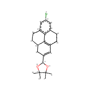 CC1(C)OB(C2=CC3=C4c5c(cc(Br)cc5CCC4C2)CC3)OC1(C)C